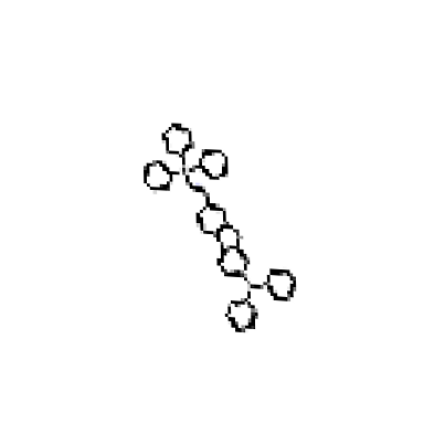 C(=C\[Si](c1ccccc1)(c1ccccc1)c1ccccc1)/c1ccc2c(c1)oc1cc(N(c3ccccc3)c3ccccc3)ccc12